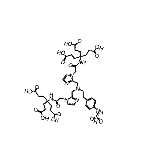 O=C(O)CCC(CCC(=O)O)(CCC(=O)O)NC(=O)Cn1ccnc1CN(CCc1ccc(N[SH](=O)=O)cc1)Cc1nccn1CC(=O)NC(CCC(=O)O)(CCC(=O)O)CCC(=O)O